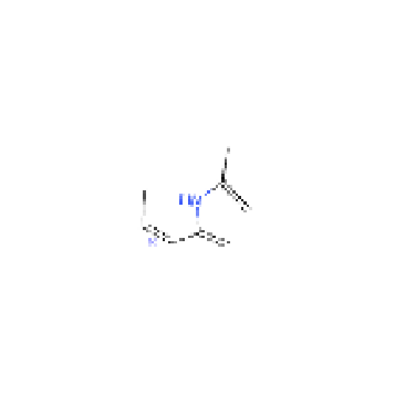 C=C(C)NC(=C)/C=C\C